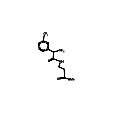 COC(=O)CCNC(=O)C(N)c1cccc(C(F)(F)F)c1